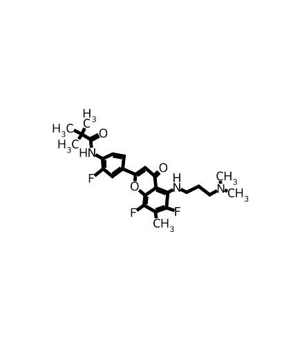 Cc1c(F)c(NCCCN(C)C)c2c(=O)cc(-c3ccc(NC(=O)C(C)(C)C)c(F)c3)oc2c1F